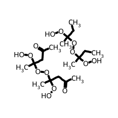 CC(=O)CC(C)(OO)OOC(C)(CC(C)=O)OO.CCC(C)(OO)OOC(C)(CC)OO